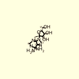 C[C@@]1(N2CN=C3C2=NC=NC3(N)N)O[C@H](CO)[C@@H](O)[C@H]1O